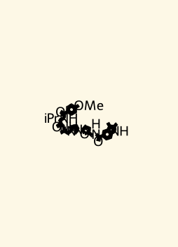 COc1ccc(C(=O)NC(C(=O)NC(C)Cn2cc[n+](C3CCC(CNC(=O)c4ccc5[nH]c(C)c(C)c5c4)O3)c2)C(C)C)cc1